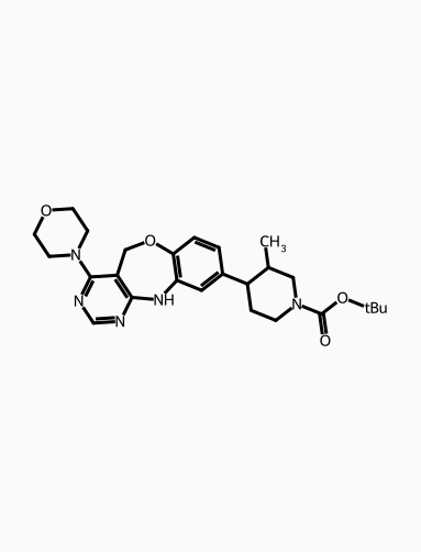 CC1CN(C(=O)OC(C)(C)C)CCC1c1ccc2c(c1)Nc1ncnc(N3CCOCC3)c1CO2